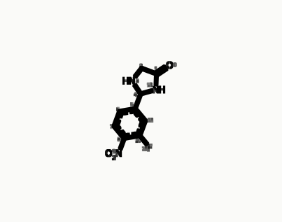 O=C1CNC(c2ccc([N+](=O)[O-])c(F)c2)N1